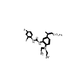 C/C(=C/C(=O)O)c1ccc(N(CC(C)C)CC(C)C)c(NC(=O)Nc2ccc(F)cc2F)c1